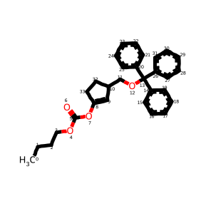 CCCCOC(=O)OC1=CC(COC(c2ccccc2)(c2ccccc2)c2ccccc2)CC1